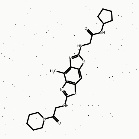 Cc1c2nc(NCC(=O)NC3CCCC3)sc2cc2sc(NCC(=O)N3CCCCC3)nc12